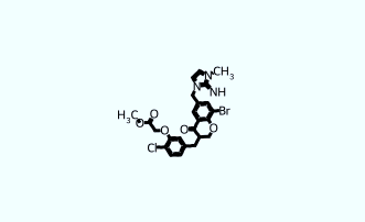 COC(=O)COc1cc(CC2COc3c(Br)cc(Cn4ccn(C)c4=N)cc3C2=O)ccc1Cl